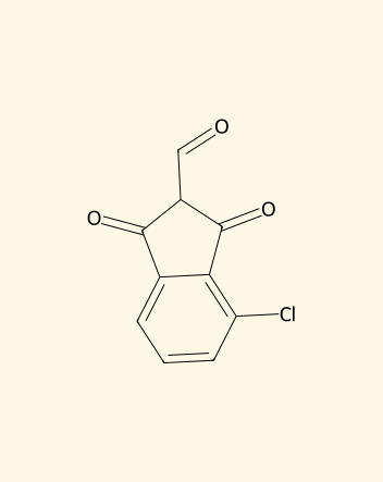 O=CC1C(=O)c2cccc(Cl)c2C1=O